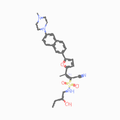 CCC(O)CNS(=O)(=O)/C(C#N)=C(\C)c1ccc(-c2ccc3cc(N4CCN(C)CC4)ccc3c2)o1